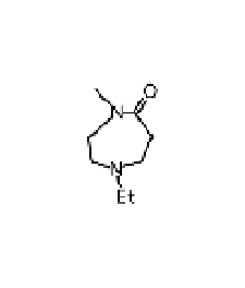 CCN1CCC(=O)N(C)CC1